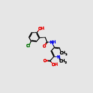 C=N/C(=C\C(=C/C)NC(=O)Cc1cc(Cl)ccc1O)C(=O)O